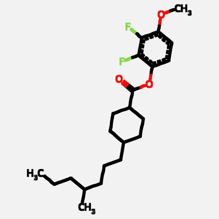 CCCC(C)CCCC1CCC(C(=O)Oc2ccc(OC)c(F)c2F)CC1